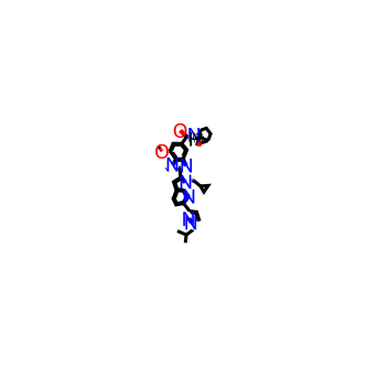 COc1cc(C(=O)N2CC3CCC2[C@@H]3C)cc2nc(-c3cc4ccc(-c5ccn(CC(C)C)n5)nc4n3CC3CC3)n(C)c12